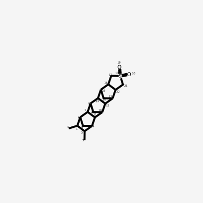 CC1C(C)C2CC1C1C3CC(C21)C1C2CC(C4CS(=O)(=O)CC42)C31